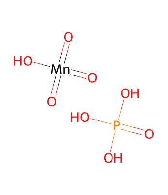 O=P(O)(O)O.[O]=[Mn](=[O])(=[O])[OH]